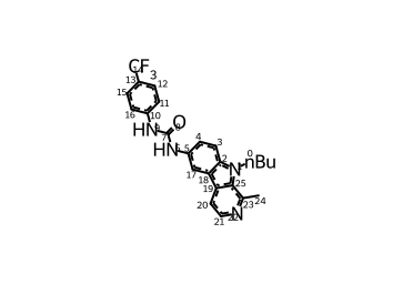 CCCCn1c2ccc(NC(=O)Nc3ccc(C(F)(F)F)cc3)cc2c2ccnc(C)c21